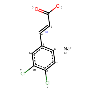 O=C([O-])/C=C/c1ccc(Cl)c(Cl)c1.[Na+]